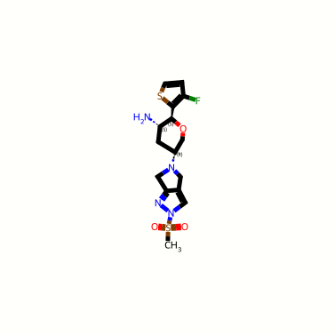 CS(=O)(=O)n1cc2c(n1)CN([C@H]1CO[C@H](c3sccc3F)[C@@H](N)C1)C2